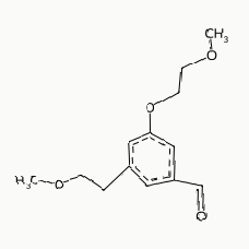 COCCOc1cc(C=O)cc(CCOC)c1